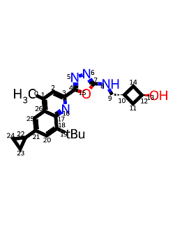 Cc1cc(-c2nnc(NC[C@H]3C[C@H](O)C3)o2)nc2c(C(C)(C)C)cc(C3CC3)cc12